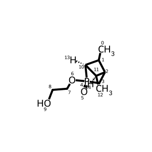 CC1C2CP(=O)(OCCO)[C@@H]1[C@@H]2C